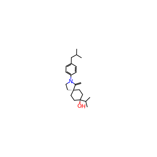 C=C1N(c2ccc(CC(C)C)cc2)CC[C@]12CC[C@@](O)(C(C)C)CC2